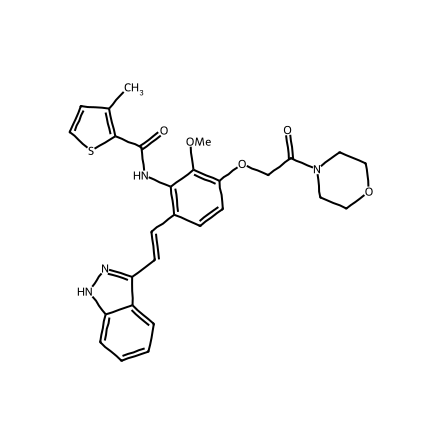 COc1c(OCC(=O)N2CCOCC2)ccc(C=Cc2n[nH]c3ccccc23)c1NC(=O)c1sccc1C